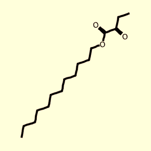 CCCCCCCCCCCCOC(=O)C(=O)CC